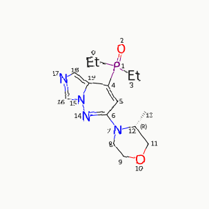 CCP(=O)(CC)c1cc(N2CCOC[C@H]2C)nn2cncc12